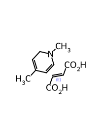 CC1=CCN(C)C=C1.O=C(O)/C=C/C(=O)O